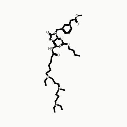 CCCCOc1nc(NC(=O)CCCCCN(CC)CCCN(C)CCCN(CC)CC)c2[nH]c(=O)n(Cc3cccc(CC(=O)OC)c3)c2n1